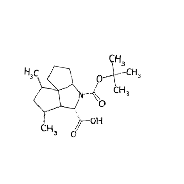 CC1CC(C)C23CCCC2N(C(=O)OC(C)(C)C)[C@H](C(=O)O)C13